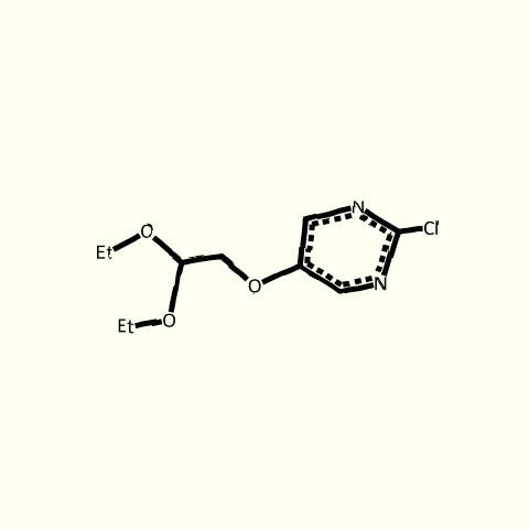 CCOC(COc1cnc(Cl)nc1)OCC